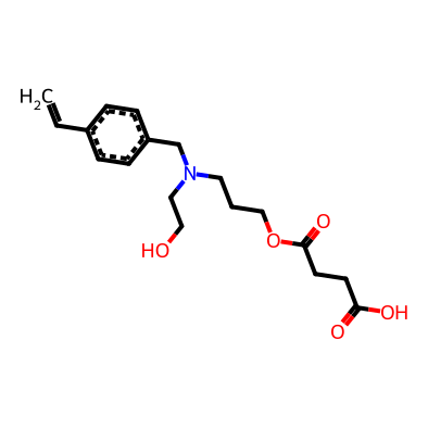 C=Cc1ccc(CN(CCO)CCCOC(=O)CCC(=O)O)cc1